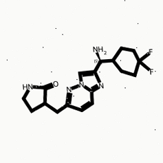 N[C@H](c1cn2nc(CC3CCNC3=O)ccc2n1)C1CCC(F)(F)CC1